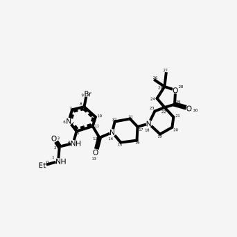 CCNC(=O)Nc1ncc(Br)cc1C(=O)N1CCC(N2CCCC3(C2)CC(C)(C)OC3=O)CC1